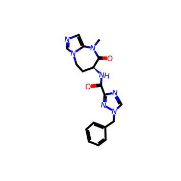 CN1C(=O)[C@@H](NC(=O)c2ncn(Cc3ccccc3)n2)CCn2cncc21